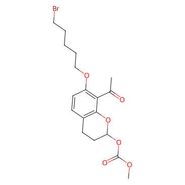 COC(=O)OC1CCc2ccc(OCCCCCBr)c(C(C)=O)c2O1